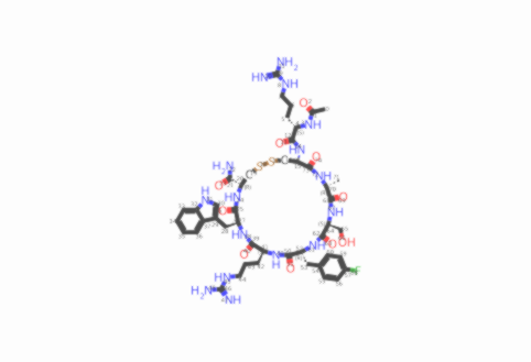 CC(=O)N[C@@H](CCCNC(=N)N)C(=O)N[C@H]1CSSC[C@@H](C(N)=O)NC(=O)[C@H](Cc2c[nH]c3ccccc23)NC(=O)[C@H](CCCNC(=N)N)NC(=O)[C@@H](Cc2ccc(F)cc2)NC(=O)[C@H](CO)NC(=O)[C@@H](C)NC1=O